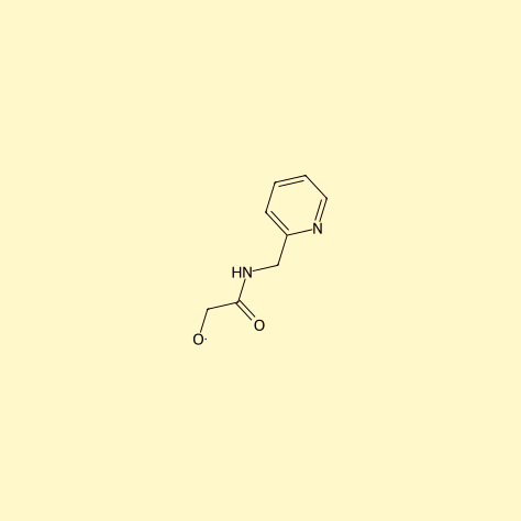 [O]CC(=O)NCc1ccccn1